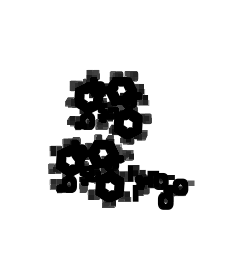 COc1cccc[c]1[Sb+]([CH3])([c]1ccccc1OC)[c]1ccccc1OC.COc1cccc[c]1[Sb+]([CH3])([c]1ccccc1OC)[c]1ccccc1OC.FC(F)F.O=C([O-])[O-]